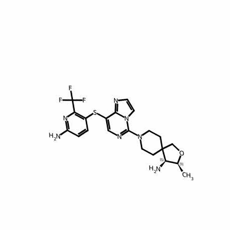 C[C@@H]1OCC2(CCN(c3ncc(Sc4ccc(N)nc4C(F)(F)F)c4nccn34)CC2)[C@@H]1N